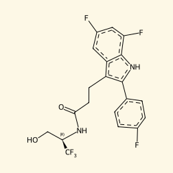 O=C(CCc1c(-c2ccc(F)cc2)[nH]c2c(F)cc(F)cc12)N[C@H](CO)C(F)(F)F